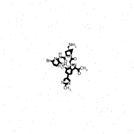 CC(=O)c1nn(CC(=O)N2C3C[C@]3(CN)C[C@H]2C(=O)Nc2nc(Br)ccc2C)c2c(C)cc(-c3cnc(C)nc3)cc12